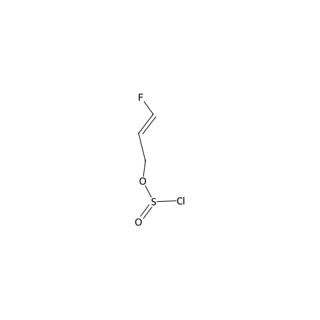 O=S(Cl)OCC=CF